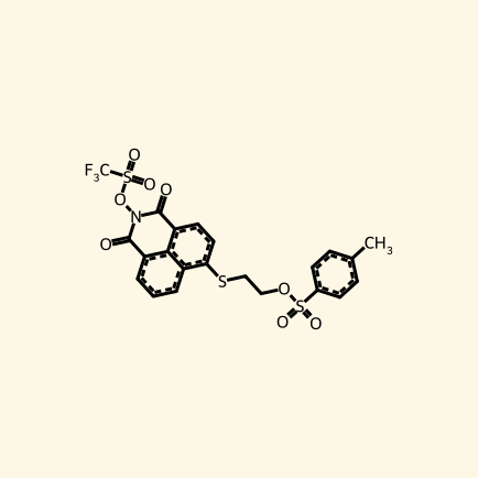 Cc1ccc(S(=O)(=O)OCCSc2ccc3c4c(cccc24)C(=O)N(OS(=O)(=O)C(F)(F)F)C3=O)cc1